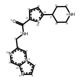 O=C(NCc1cn2ccnc2cn1)c1ccc(C2CCNCC2)s1